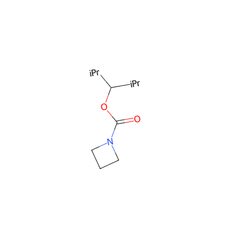 CC(C)C(OC(=O)N1CCC1)C(C)C